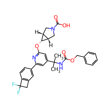 CC(C)(NC(=O)OCc1ccccc1)c1cc(O[C@@H]2[C@@H]3CN(C(=O)O)C[C@@H]32)nc(-c2ccc3c(c2)CC3(F)F)c1